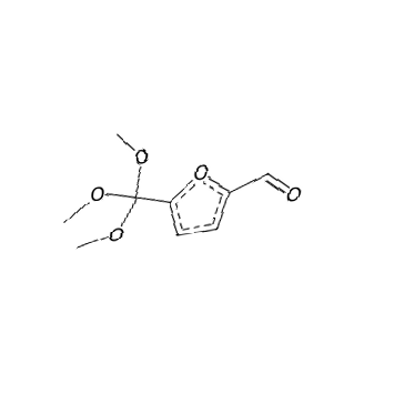 COC(OC)(OC)c1ccc(C=O)o1